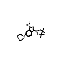 CC1(C)OB(c2nn(PI)c3cc(N4CCOCC4)ccc23)OC1(C)C